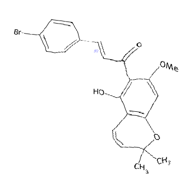 COc1cc2c(c(O)c1C(=O)/C=C/c1ccc(Br)cc1)C=CC(C)(C)O2